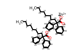 CCCCCCCCC(C(=O)[O-])(c1ccccc1)c1ccccc1.CCCCCCCCC(C(=O)[O-])(c1ccccc1)c1ccccc1.[Zn+2]